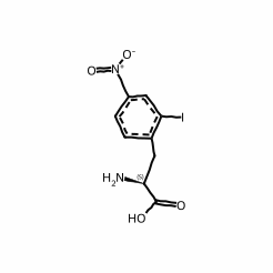 N[C@@H](Cc1ccc([N+](=O)[O-])cc1I)C(=O)O